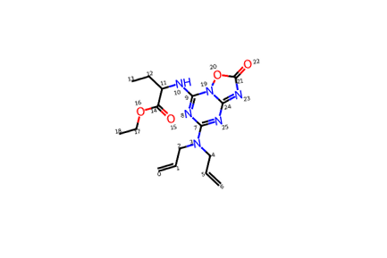 C=CCN(CC=C)c1nc(NC(CC)C(=O)OCC)n2oc(=O)nc2n1